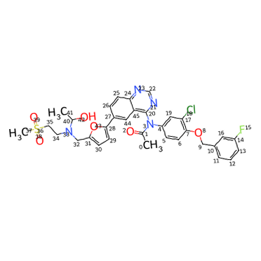 CC(=O)N(c1ccc(OCc2cccc(F)c2)c(Cl)c1)c1ncnc2ccc(-c3ccc(CN(CCS(C)(=O)=O)C(C)O)o3)cc12